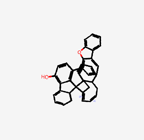 Oc1ccc(-c2cccc3c2oc2ccccc23)c2c1C1=CC=CCC1C21/C2=C/C=C\CC3C=CC#CC31C2